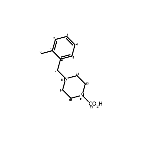 Cc1ccccc1CN1CCN(C(=O)O)CC1